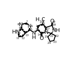 Cc1cc(Nc2ncnc3[nH]ccc23)c(=O)n2c1C(=O)NC21CCCC1